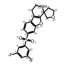 O=S(=O)(c1cc(F)cc(F)c1)c1ccc2c3c(oc2c1)C1(CCOC1)NCC3